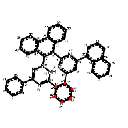 c1ccc(C2=NN(c3c(-c4nc(-c5ccccc5)cc(-c5cccc6ccccc56)n4)c4ccccc4c4ccccc34)NC(c3ccccc3)=N2)cc1